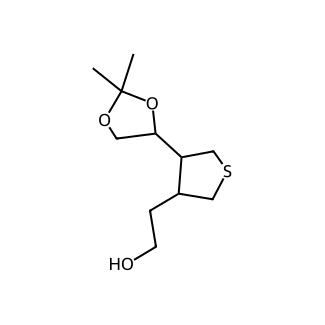 CC1(C)OCC(C2CSCC2CCO)O1